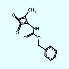 Cc1c(NC(=O)OCc2ccccc2)c(=O)c1=O